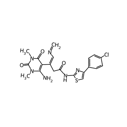 C=N/C=C(/CC(=O)Nc1nc(-c2ccc(Cl)cc2)cs1)c1c(N)n(C)c(=O)n(C)c1=O